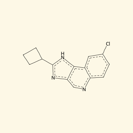 Clc1ccc2ncc3nc(C4CCC4)[nH]c3c2c1